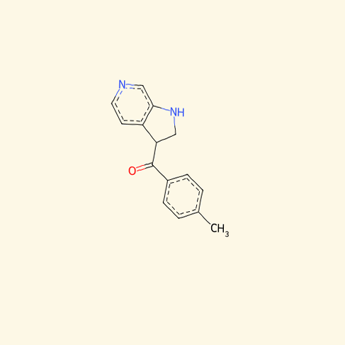 Cc1ccc(C(=O)C2CNc3cnccc32)cc1